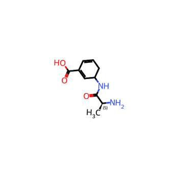 C[C@H](N)C(=O)NC1C=C(C(=O)O)C=CC1